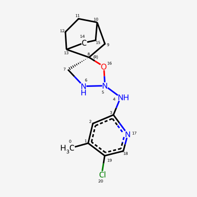 Cc1cc(NN2NC[C@]3(CC4CCC3CC4)O2)ncc1Cl